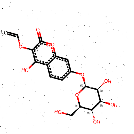 C=COc1c(O)c2ccc(O[C@@H]3O[C@H](CO)[C@@H](O)[C@H](O)[C@H]3O)cc2oc1=O